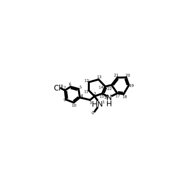 CNC1(Cc2ccc(Cl)cc2)CCCc2c1[nH]c1ccccc21